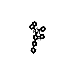 C1=C(c2ccccc2)CCC(c2ccc(-c3nc(-c4ccccc4)nc(-c4cccc5ccccc45)n3)c3c2oc2ccccc23)=C1